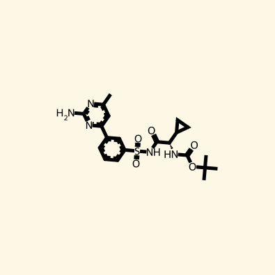 Cc1cc(-c2cccc(S(=O)(=O)NC(=O)[C@@H](NC(=O)OC(C)(C)C)C3CC3)c2)nc(N)n1